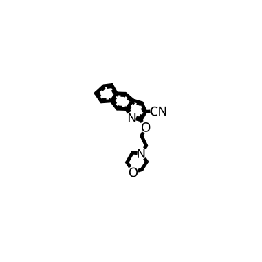 N#Cc1cc2cc3ccccc3cc2nc1OCCN1CCOCC1